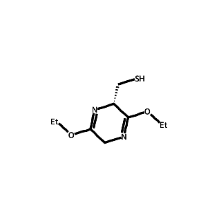 CCOC1=N[C@H](CS)C(OCC)=NC1